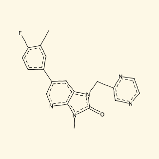 Cc1cc(-c2cnc3c(c2)n(Cc2cnccn2)c(=O)n3C)ccc1F